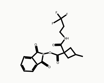 CC1CC(C(=O)NCCC(F)(F)F)(C(=O)ON2C(=O)c3ccccc3C2=O)C1